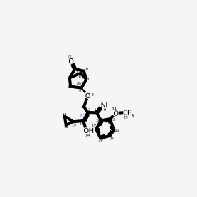 N=C(/C(CO[C@H]1CC2CC1CC2=O)=C(\O)C1CC1)c1ccccc1OC(F)(F)F